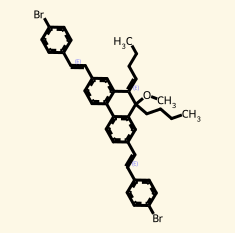 CCC/C=C1\c2cc(/C=C/c3ccc(Br)cc3)ccc2-c2ccc(/C=C/c3ccc(Br)cc3)cc2C1(CCCC)OC